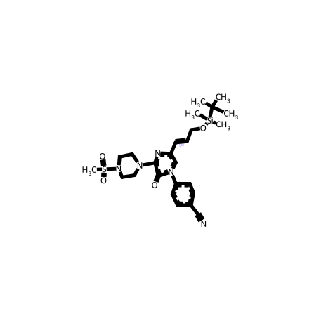 CC(C)(C)[Si](C)(C)OC/C=C/c1cn(-c2ccc(C#N)cc2)c(=O)c(N2CCN(S(C)(=O)=O)CC2)n1